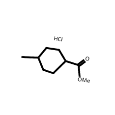 COC(=O)C1CCC(C)CC1.Cl